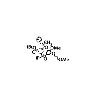 COCCCOc1cc(C(=O)N(C(C)C)C2C[C@H](C(=O)N(C)Cc3ccccc3)CN(C(=O)OC(C)(C)C)C2)ccc1OC